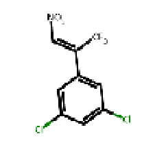 O=[N+]([O-])C=C(c1cc(Cl)cc(Cl)c1)C(F)(F)F